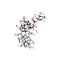 CN(C(=O)C(C)(N(C)C(=O)[C@@]1(C)O[C@]1(C)C(=O)OC(C)(C)C(C)(C)C)C(C)(C)C(C)(C(C)(C)C)C(C)(C)C)C(C)(C)C(C)(C)C(C)(C(C)(C)C)C(C)(C)C